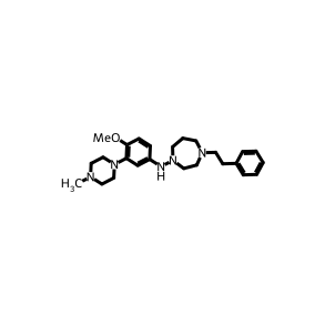 COc1ccc(NN2CCCN(CCc3ccccc3)CC2)cc1N1CCN(C)CC1